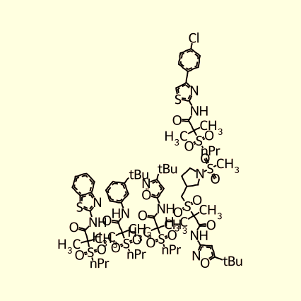 CC(C)(C)c1cc(NC(=O)C(C)(C)S(=O)(=O)CC2CCN(S(C)(=O)=O)C2)no1.CCCS(=O)(=O)C(C)(C)C(=O)Nc1cc(C(C)(C)C)no1.CCCS(=O)(=O)C(C)(C)C(=O)Nc1cccc(C(C)(C)C)c1.CCCS(=O)(=O)C(C)(C)C(=O)Nc1nc(-c2ccc(Cl)cc2)cs1.CCCS(=O)(=O)C(C)(C)C(=O)Nc1nc2ccccc2s1